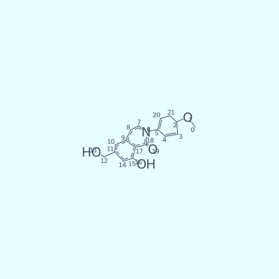 COC1C=CC(n2ccc3cc(CO)cc(O)c3c2=O)=CC1